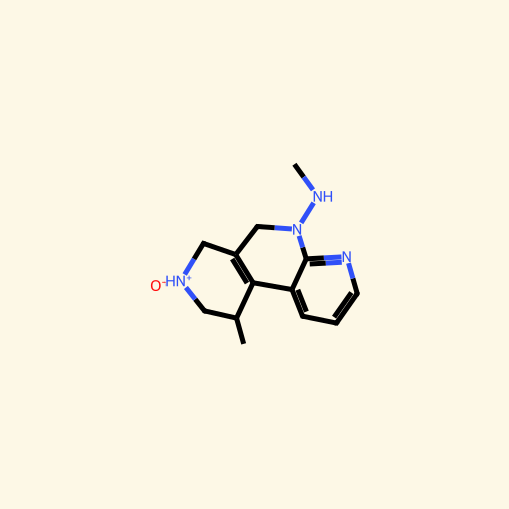 CNN1CC2=C(c3cccnc31)C(C)C[NH+]([O-])C2